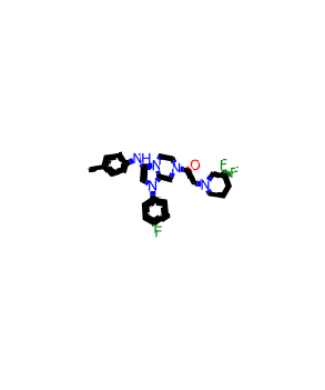 Cc1ccc(NC2=CN(c3ccc(F)cc3)C3CN(C(=O)CN4CCCC(F)(F)C4)CCN23)cc1